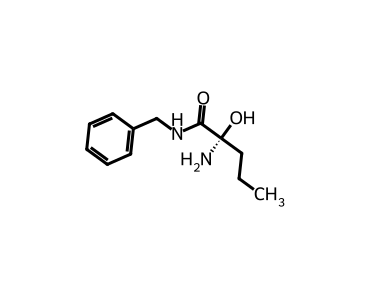 CCC[C@](N)(O)C(=O)NCc1ccccc1